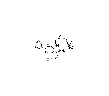 CC(C)(C)[Si](C)(C)OCC1CC1CNC(=O)C1=C(OCc2ccccc2)C(=O)C=CC1N